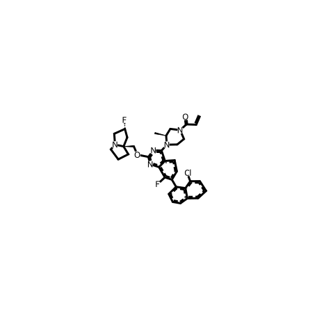 C=CC(=O)N1CCN(c2nc(OC[C@@]34CCCN3C[C@H](F)C4)nc3c(F)c(-c4cccc5cccc(Cl)c45)ccc23)[C@@H](C)C1